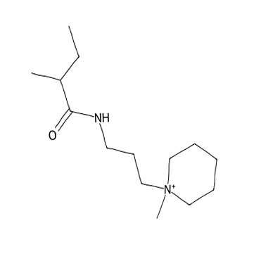 CCC(C)C(=O)NCCC[N+]1(C)CCCCC1